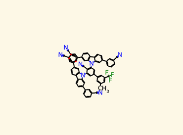 Cc1cc(-c2cc(-n3c4cc(-c5cccc(C#N)c5)ccc4c4ccc(-c5cccc(C#N)c5)cc43)c(C#N)c(-n3c4cc(-c5cccc(C#N)c5)ccc4c4ccc(-c5cccc(C#N)c5)cc43)c2)cc(C(F)(F)F)c1